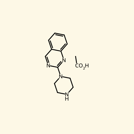 CC(=O)O.c1ccc2nc(N3CCNCC3)ncc2c1